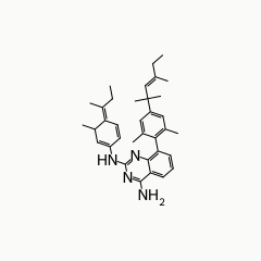 CC/C(C)=C1\C=CC(Nc2nc(N)c3cccc(-c4c(C)cc(C(C)(C)/C=C(\C)CC)cc4C)c3n2)=CC1C